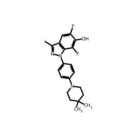 CC1(C)CCN(c2ccc(-n3nc(I)c4cc(F)c(O)c(F)c43)cc2)CC1